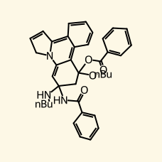 CCCCNC1(NC(=O)c2ccccc2)C=C2C(=c3ccccc3=C3C=CCN23)C(OCCCC)(OC(=O)c2ccccc2)C1